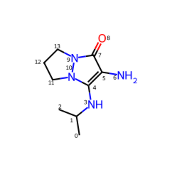 CC(C)Nc1c(N)c(=O)n2n1CCC2